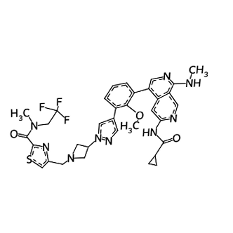 CNc1ncc(-c2cccc(-c3cnn(C4CN(Cc5csc(C(=O)N(C)CC(F)(F)F)n5)C4)c3)c2OC)c2cc(NC(=O)C3CC3)ncc12